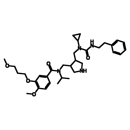 COCCCOc1cc(C(=O)N(CC2CNCC2CN(C(=O)NCCc2ccccc2)C2CC2)C(C)C)ccc1OC